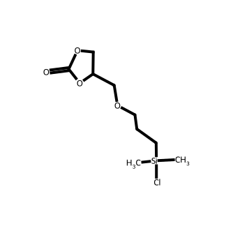 C[Si](C)(Cl)CCCOCC1COC(=O)O1